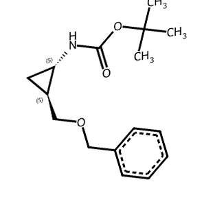 CC(C)(C)OC(=O)N[C@H]1C[C@@H]1COCc1ccccc1